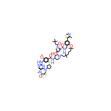 COc1cc(C(=O)NC2CCN(CCC(C)(C)CCCC(C)(C)Oc3cc(-c4scnc4C)ccc3CNC(=O)[C@@H]3C[C@@H](O)CN3C(=O)CC(C)(C)C)CC2)c(F)cc1Nc1ncc2c(n1)N(C1CCCC1)CC(F)(F)C(=O)N2C